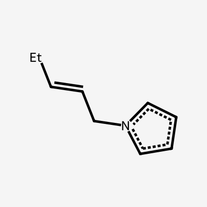 CCC=CCn1cccc1